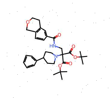 CC(C)(C)OC(=O)C(CNC(=O)c1ccc2c(c1)CCOC2)(C(=O)OC(C)(C)C)N1CCC(c2ccccc2)CC1